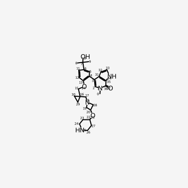 Cn1cc(-c2cc(C(C)(C)O)ccc2OCC2(CN3CC(OC4CCNCC4)C3)CC2)c2cc[nH]c2c1=O